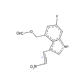 O=COCc1cc(F)cc2[nH]cc(/C=C/[N+](=O)[O-])c12